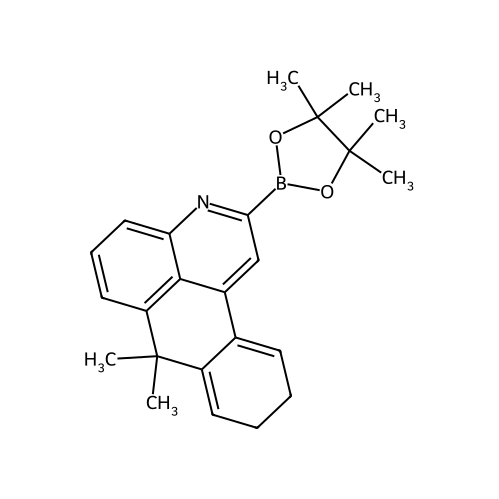 CC1(C)C2=CCCC=C2c2cc(B3OC(C)(C)C(C)(C)O3)nc3cccc1c23